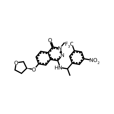 CC(Nc1nn(C)c(=O)c2ccc(O[C@H]3CCOC3)cc12)c1cc([N+](=O)[O-])cc(C(F)(F)F)c1